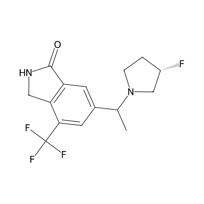 CC(c1cc2c(c(C(F)(F)F)c1)CNC2=O)N1CC[C@H](F)C1